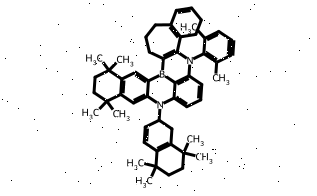 Cc1c#ccc(C)c1N1C2=C(CCCC3=C2CCC=C3)B2c3cc4c(cc3N(C3C=CC5=C(C3)C(C)(C)CCC5(C)C)c3cccc1c32)C(C)(C)CCC4(C)C